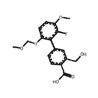 COCOc1ccc(OC)c(F)c1-c1ccc(C(=O)O)c(CO)c1